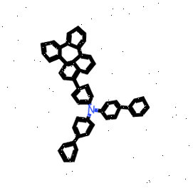 c1ccc(-c2ccc(N(c3ccc(-c4ccccc4)cc3)c3ccc(-c4ccc5c6c(cccc46)-c4ccccc4-c4ccccc4-5)cc3)cc2)cc1